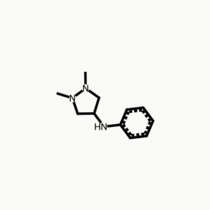 CN1CC(Nc2ccccc2)CN1C